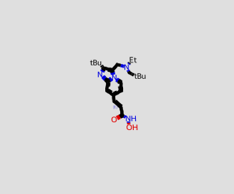 CCN(Cc1c(C(C)(C)C)nc2cc(/C=C/C(=O)NO)ccn12)CC(C)(C)C